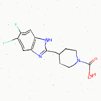 O=C(O)N1CCC(c2nc3cc(F)c(F)cc3[nH]2)CC1